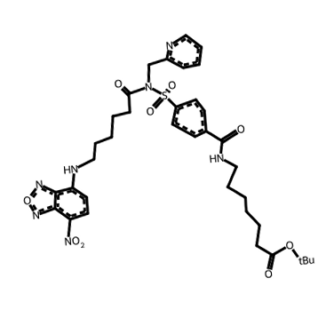 CC(C)(C)OC(=O)CCCCCCNC(=O)c1ccc(S(=O)(=O)N(Cc2ccccn2)C(=O)CCCCCNc2ccc([N+](=O)[O-])c3nonc23)cc1